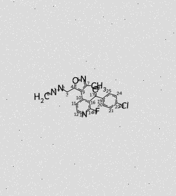 C=[N+]=NCc1onc(C)c1-c1ccnc(F)c1C(=O)c1ccc(Cl)cc1